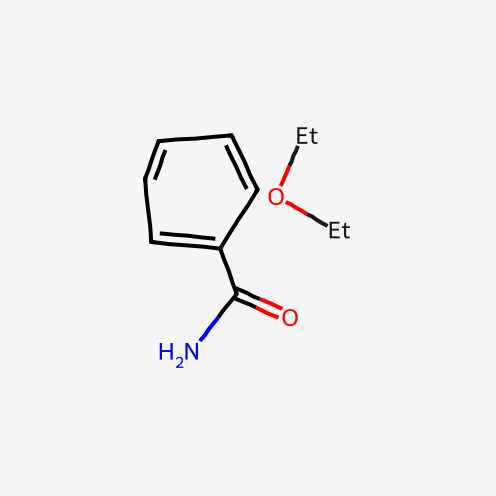 CCOCC.NC(=O)c1ccccc1